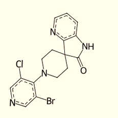 O=C1Nc2cccnc2C12CCN(c1c(Cl)cncc1Br)CC2